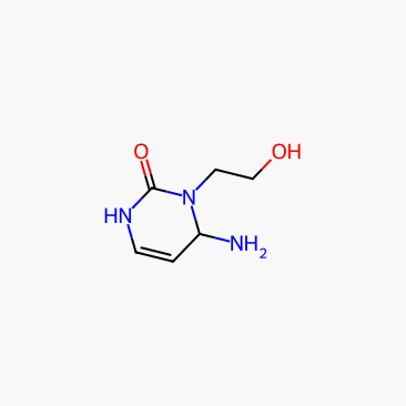 NC1C=CNC(=O)N1CCO